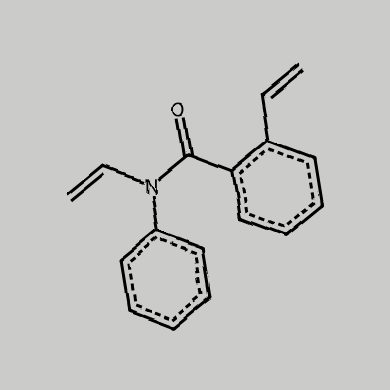 C=Cc1ccccc1C(=O)N(C=C)c1ccccc1